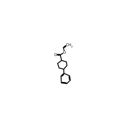 C=COC(=O)C1CCC(c2ccccc2)CC1